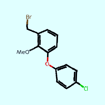 COc1c(CBr)cccc1Oc1ccc(Cl)cc1